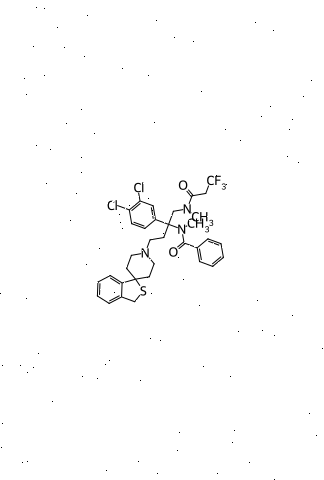 CN(CC(CCN1CCC2(CC1)SCc1ccccc12)(c1ccc(Cl)c(Cl)c1)N(C)C(=O)c1ccccc1)C(=O)CC(F)(F)F